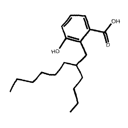 CCCCCCC(CCCC)Cc1c(O)cccc1C(=O)O